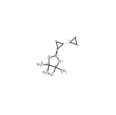 CC1(C)OB([C@H]2C[C@@H]2C2CC2)OC1(C)C